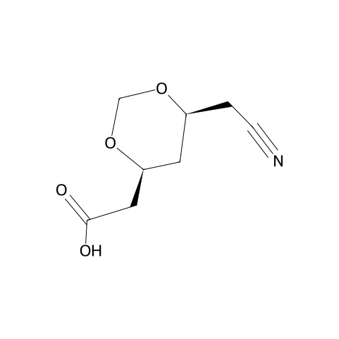 N#CC[C@H]1C[C@@H](CC(=O)O)OCO1